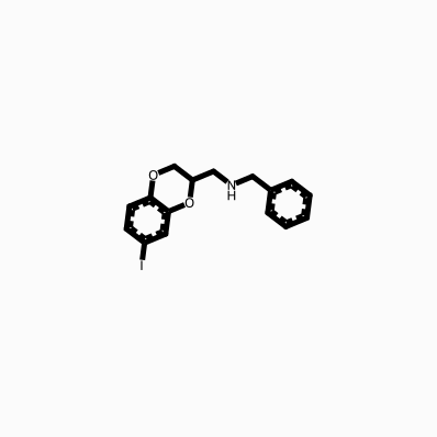 Ic1ccc2c(c1)OC(CNCc1ccccc1)CO2